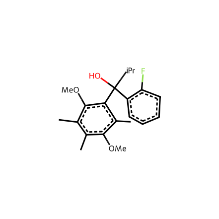 COc1c(C)c(C)c(OC)c(C(O)(c2ccccc2F)C(C)C)c1C